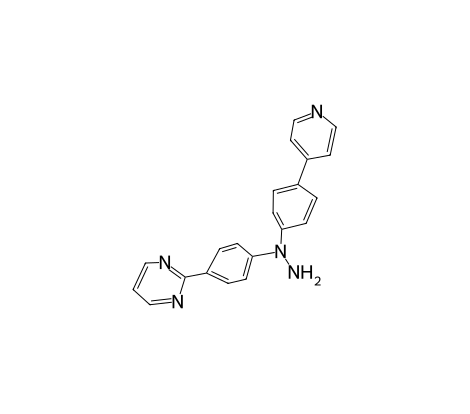 NN(c1ccc(-c2ccncc2)cc1)c1ccc(-c2ncccn2)cc1